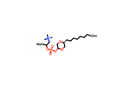 CCCCCCCCCCCCCCCCC[C@H]1CO[C@@H](OP(=O)([O-])OC(C[N+](C)(C)C)OC)CO1